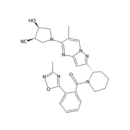 Cc1noc(-c2ccccc2C(=O)N2CCCC[C@H]2c2cc3nc(N4C[C@@H](C#N)[C@@H](O)C4)c(C)cn3n2)n1